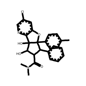 Cc1ccc(C23Oc4cc(Cl)cnc4C2(O)C(O)C(C(=O)N(C)C)C3c2ccccc2)cc1